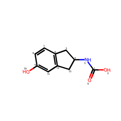 O=C(O)NC1Cc2ccc(O)cc2C1